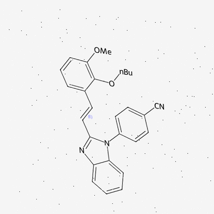 CCCCOc1c(/C=C/c2nc3ccccc3n2-c2ccc(C#N)cc2)cccc1OC